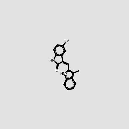 Cc1c(C=C2C(=O)Nc3ccc(Br)cc32)[nH]c2ccccc12